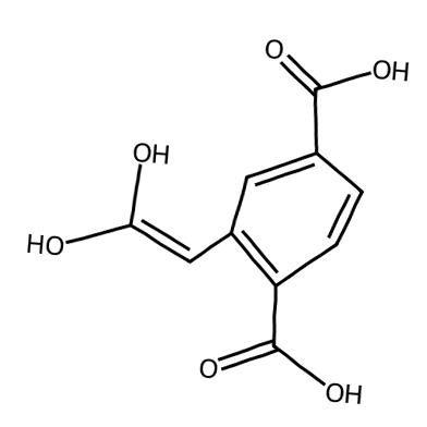 O=C(O)c1ccc(C(=O)O)c(C=C(O)O)c1